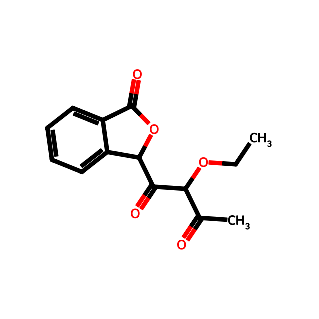 CCOC(C(C)=O)C(=O)C1OC(=O)c2ccccc21